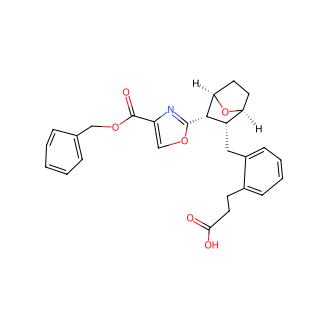 O=C(O)CCc1ccccc1C[C@@H]1[C@H](c2nc(C(=O)OCc3ccccc3)co2)[C@H]2CC[C@@H]1O2